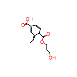 CC=C1C=C(C(=O)O)C=CC1C(=O)OCCCO